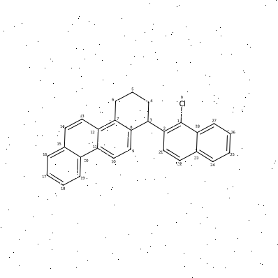 Clc1c(C2CCCc3c2ccc2c3ccc3ccccc32)ccc2ccccc12